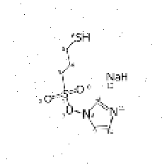 O=S(=O)(CCCS)On1ccnc1.[NaH]